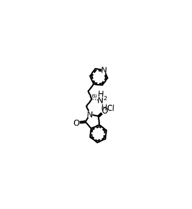 Cl.N[C@@H](Cc1ccncc1)CN1C(=O)c2ccccc2C1=O